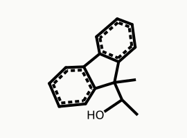 CC(O)C1(C)c2ccccc2-c2ccccc21